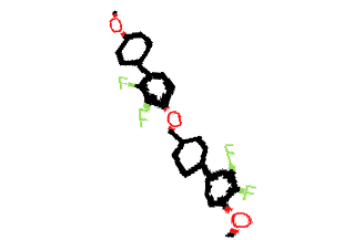 COc1ccc(C2CCC(COc3ccc(C4CCC(OC)CC4)c(F)c3F)CC2)c(F)c1F